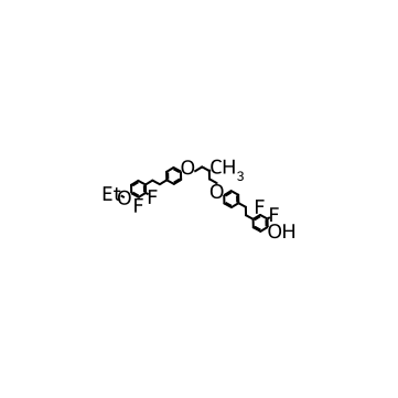 CCOc1ccc(CCc2ccc(OCCC(C)CCOc3ccc(CCc4ccc(O)c(F)c4F)cc3)cc2)c(F)c1F